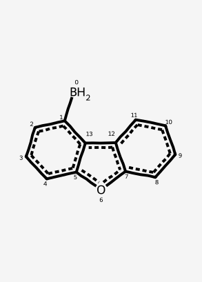 Bc1cccc2oc3ccccc3c12